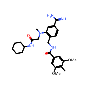 COc1cc(C(=O)NCc2ccc(C(=N)N)cc2N(C)CC(=O)NC2CCCCC2)cc(OC)c1C